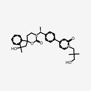 C[C@@H](c1ccc(-c2ccn(CC(C)(C)CO)c(=O)c2)cc1)N1CCC(CC(C)(C)O)(c2ccccc2)OC1=O